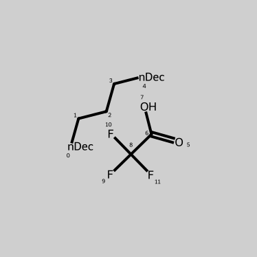 CCCCCCCCCCCCCCCCCCCCCCC.O=C(O)C(F)(F)F